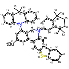 CC(C)(C)c1cc2c3c(c1)N1c4ccccc4C(C)(C)c4cccc(c41)B3N(c1ccc3c(c1)C(C)(C)CCC3(C)C)c1cc3c(cc1-2)sc1ccccc13